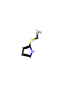 CCCCSC1=CC=C[N]1